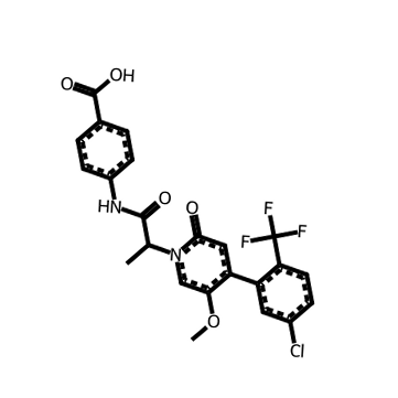 COc1cn(C(C)C(=O)Nc2ccc(C(=O)O)cc2)c(=O)cc1-c1cc(Cl)ccc1C(F)(F)F